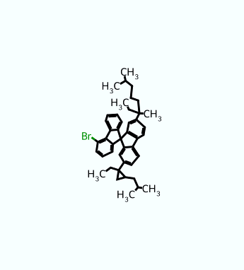 CCC(C)(CCCC(C)C)c1ccc2c(c1)C1(c3cc(C4(CC)CC4CC(C)C)ccc3-2)c2ccccc2-c2c(Br)cccc21